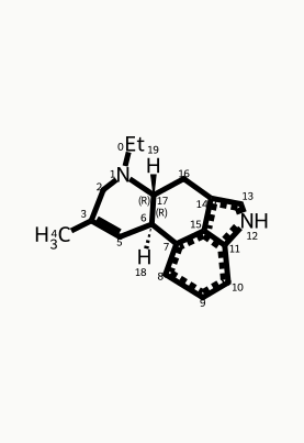 CCN1CC(C)=C[C@@H]2c3cccc4[nH]cc(c34)C[C@H]21